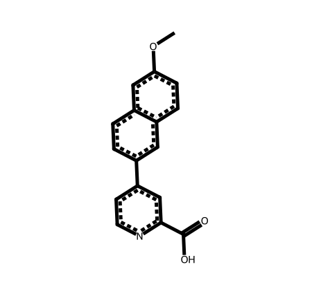 COc1ccc2cc(-c3ccnc(C(=O)O)c3)ccc2c1